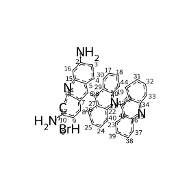 Br.Nc1ccc2cc3ccc(N)cc3nc2c1.c1ccc2nc3ccccc3cc2c1.c1ccc2nc3ccccc3cc2c1